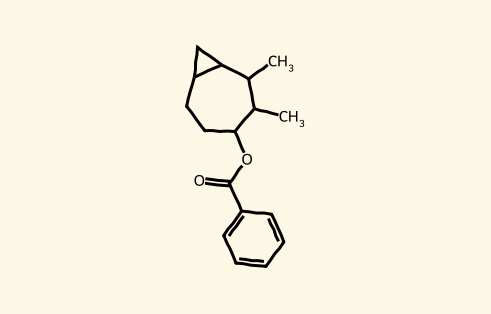 CC1C(OC(=O)c2ccccc2)CCC2CC2C1C